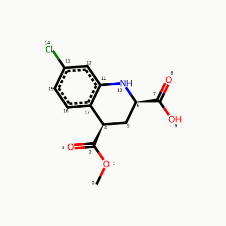 COC(=O)[C@@H]1C[C@H](C(=O)O)Nc2cc(Cl)ccc21